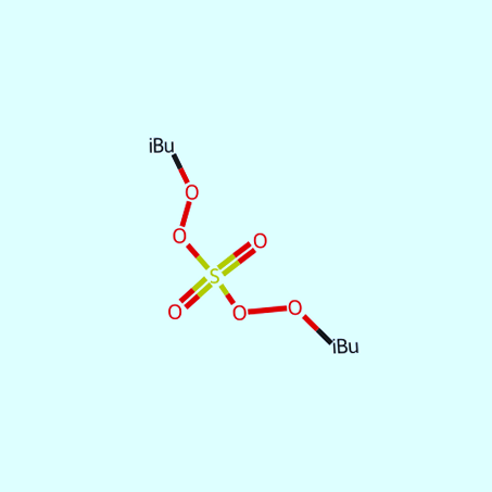 CCC(C)OOS(=O)(=O)OOC(C)CC